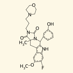 COc1cc2c3c([nH]c2cc1F)C(c1cccc(O)c1)N1C(=O)N(CCCN2CCOCC2)C(=O)C1(C)C3